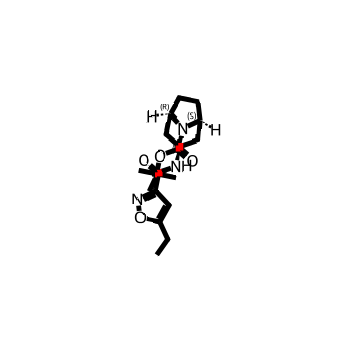 CCc1cc(C(=O)N[C@H]2C[C@H]3CC[C@@H](C2)N3C(=O)OC(C)(C)C)no1